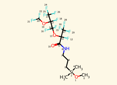 CO[Si](C)(C)CCCNC(=O)C(F)(OC(F)(F)C(F)(OC(F)F)C(F)(F)F)C(F)(F)F